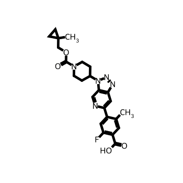 Cc1cc(C(=O)O)c(F)cc1-c1cc2nnn(C3CCN(C(=O)OCC4(C)CC4)CC3)c2cn1